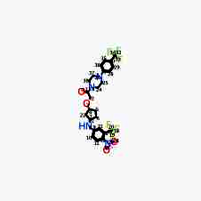 O=C(COC1CC[C@@H](Nc2ccc([N+](=O)[O-])c(C(F)(F)F)c2)C1)N1CCN(c2ccc(C(F)(F)F)cc2)CC1